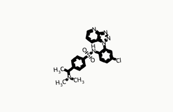 CC(c1ccc(S(=O)(=O)Nc2ccc(Cl)cc2-n2nnc3ncccc32)cc1)N(C)C